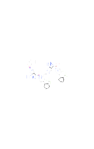 CCC(=O)N1Cc2[nH]nc(C(=O)N3CCC(c4ccccc4C(F)(F)F)CC3CCN3Cc4[nH]nc(C(=O)N5CCC(c6ccccc6C(F)(F)F)CC5)c4C3)c2C1